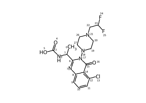 CC(NC(=O)O)c1nc2cccc(Cl)c2c(=O)n1N1CCN(CC(F)F)CC1